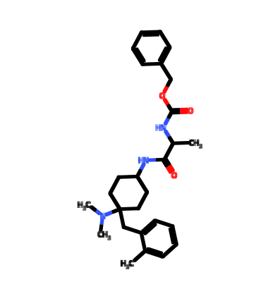 Cc1ccccc1CC1(N(C)C)CCC(NC(=O)C(C)NC(=O)OCc2ccccc2)CC1